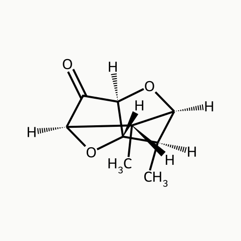 C[C@@H]1[C@@H]2O[C@@H]3C(=O)[C@H](O[C@@H]13)[C@H]2C